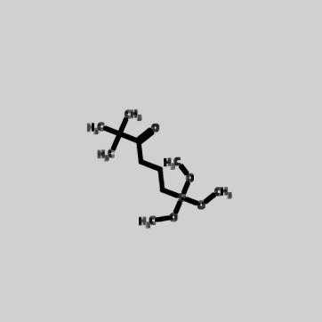 CO[Si](CCCC(=O)C(C)(C)C)(OC)OC